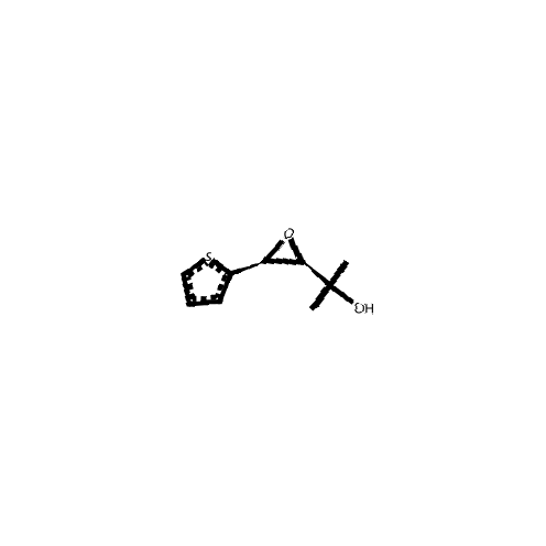 CC(C)(O)[C@@H]1O[C@@H]1c1cccs1